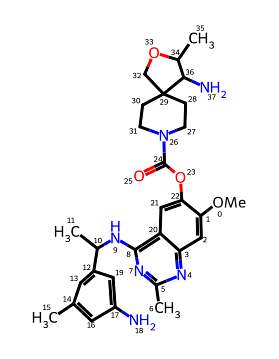 COc1cc2nc(C)nc(NC(C)c3cc(C)cc(N)c3)c2cc1OC(=O)N1CCC2(CC1)COC(C)C2N